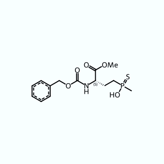 COC(=O)[C@H](CCP(C)(O)=S)NC(=O)OCc1ccccc1